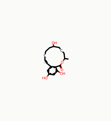 CC1CCCC(O)CCC/C=C\c2cc(O)cc(O)c2C(=O)O1